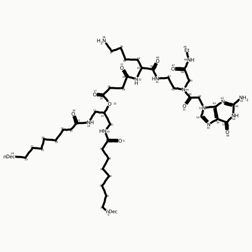 CCCCCCCCCCCCCCCCCC(=O)NCC(CNC(=O)CCCCCCCCCCCCCCCCC)OC(=O)CCC(=O)NC(CCCCN)C(=O)NCCN(CC(=O)NCC)C(=O)Cn1cnc2c(=O)[nH]c(N)nc21